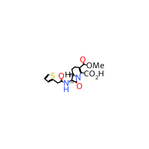 COC(=O)C1=C(C(=O)O)N2C(=O)[C@@H](NC(=O)Cc3cccs3)[C@@H]2CC1